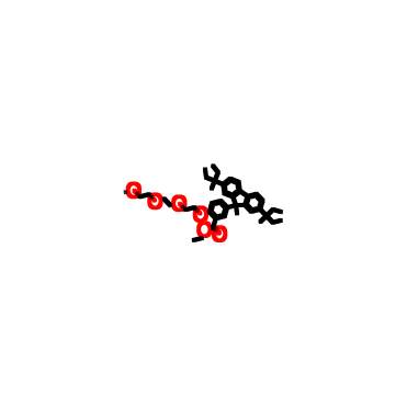 CCOC(=O)c1cc(C2(C)c3cc(C(C)(CC)CC)ccc3-c3ccc(C(C)(CC)CC)cc32)ccc1OCCOCCOCCOC